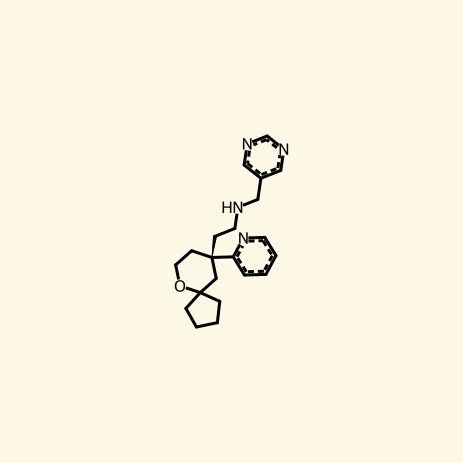 c1ccc([C@@]2(CCNCc3cncnc3)CCOC3(CCCC3)C2)nc1